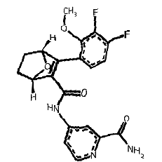 COc1c(C2=C(C(=O)Nc3ccnc(C(N)=O)c3)[C@@H]3CC[C@H]2O3)ccc(F)c1F